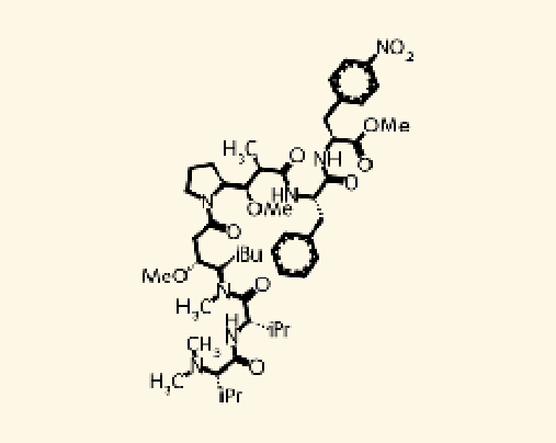 CC[C@H](C)C([C@@H](CC(=O)N1CCC[C@H]1[C@H](OC)[C@@H](C)C(=O)N[C@@H](Cc1ccccc1)C(=O)N[C@@H](Cc1ccc([N+](=O)[O-])cc1)C(=O)OC)OC)N(C)C(=O)[C@@H](NC(=O)[C@H](C(C)C)N(C)C)C(C)C